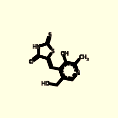 Cc1ncc(CO)c(C=C2SC(=S)NC2=O)c1O